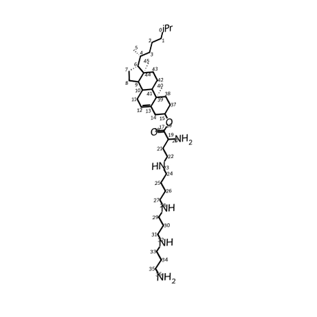 CC(C)CCC[C@@H](C)[C@H]1CCC2C3CC=C4CC(OC(=O)C(N)CCNCCCCNCCCNCCCN)CC[C@]4(C)C3CC[C@@]21C